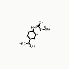 [CH2]C(O)C1CCC(NC(=O)OC(C)(C)C)CC1